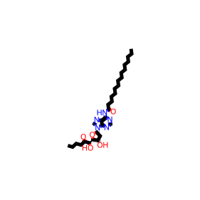 CCCCCCCCCCCCCCCC(=O)Nc1ncnc2c1ncn2[C@H]1C[C@H](O)[C@@H](C(O)C(=O)CCCC)O1